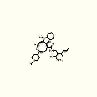 C/C=C/C(C)C(CNC(=O)/C1=C(CC)/C(N(CC)C2CCOCC2)=C\[C@H](C)O/C(C2CCN(C(C)C)CC2)=C\C1)C(N)O